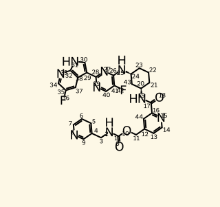 O=C(NCc1cccnc1)OCc1ccnc(C(=O)N[C@@H]2CCC[C@H](Nc3nc(-c4c[nH]c5ncc(F)cc45)ncc3F)C2)c1